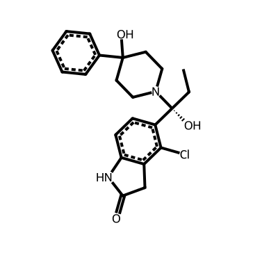 CC[C@@](O)(c1ccc2c(c1Cl)CC(=O)N2)N1CCC(O)(c2ccccc2)CC1